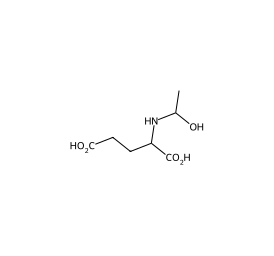 CC(O)NC(CCC(=O)O)C(=O)O